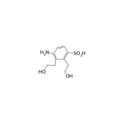 Nc1ccc(S(=O)(=O)O)c(CCO)c1CCO